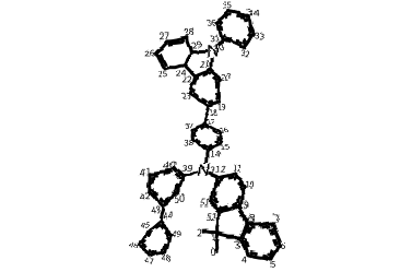 CC1(C)c2ccccc2-c2ccc(N(c3ccc(-c4ccc5c(c4)C4C=CC=CC4N5c4ccccc4)cc3)c3cccc(-c4ccccc4)c3)cc21